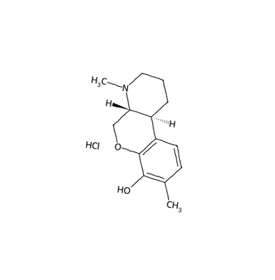 Cc1ccc2c(c1O)OC[C@H]1[C@H]2CCCN1C.Cl